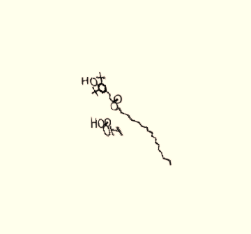 CCCCCCCCCCCCCCCCCCOC(=O)CCc1cc(C(C)(C)C)c(O)c(C(C)(C)C)c1.O=C(O)O